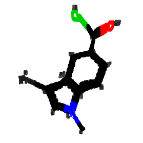 CC(C)c1cn(C)c2ccc(C(=O)Cl)cc12